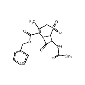 COC(=O)NC1C(=O)N2C(C(=O)OCc3ccccc3)=C(C(F)(F)F)CS(=O)(=O)C12